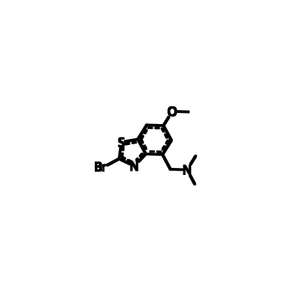 COc1cc(CN(C)C)c2nc(Br)sc2c1